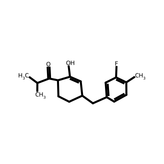 Cc1ccc(CC2C=C(O)C(C(=O)C(C)C)CC2)cc1F